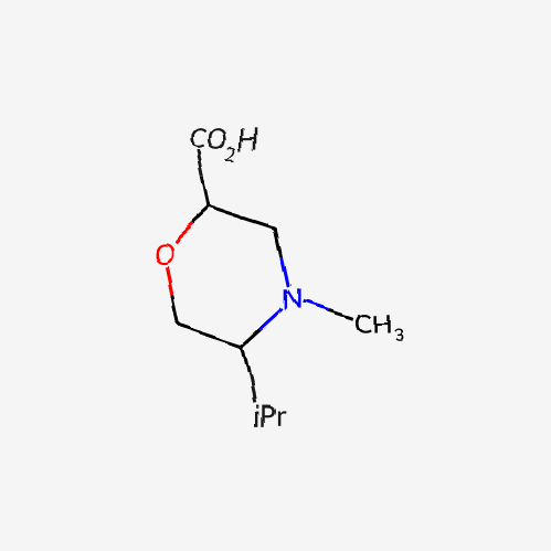 CC(C)C1COC(C(=O)O)CN1C